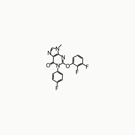 Cn1cnc2c(=O)n(-c3ccc(F)cc3)c(Oc3cccc(F)c3F)nc21